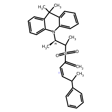 C=C(/C=C\C(C)c1ccccc1)S(=O)(=O)C(C)[C@@H](C)N1c2ccccc2C(C)(C)c2ccccc21